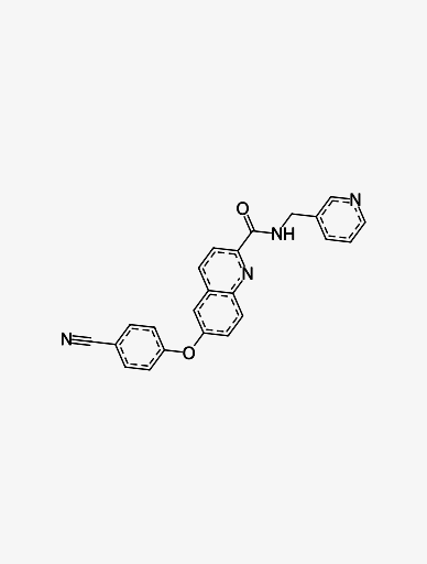 N#Cc1ccc(Oc2ccc3nc(C(=O)NCc4cccnc4)ccc3c2)cc1